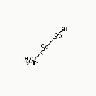 CC(C)C(C)(C)CCCCS/C=C/C(=O)OCCCCCCOC(=O)/C=C/S